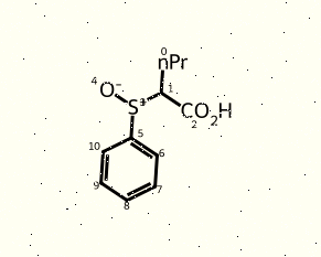 CCCC(C(=O)O)[S+]([O-])c1ccccc1